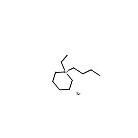 CCCC[N+]1(CC)CCCCC1.[Br-]